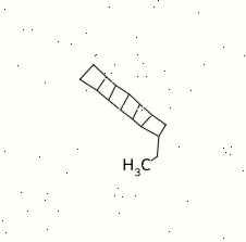 CCC1CC2C1C1C2C2C3C4CCC4C3C12